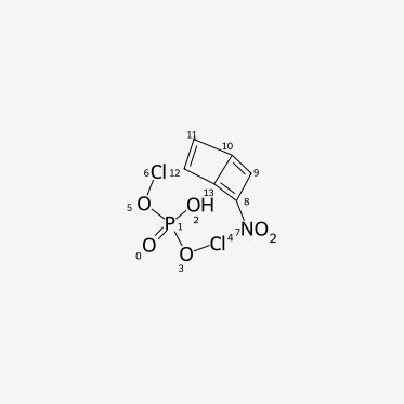 O=P(O)(OCl)OCl.O=[N+]([O-])c1cc2ccc1-2